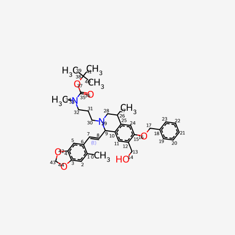 Cc1cc2c(cc1/C=C/C1c3cc(CO)c(OCc4ccccc4)cc3C(C)CN1CCCN(C)C(=O)OC(C)(C)C)OCO2